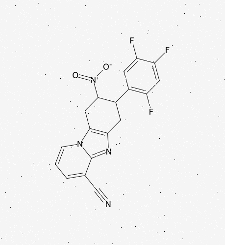 N#Cc1cccn2c3c(nc12)CC(c1cc(F)c(F)cc1F)C([N+](=O)[O-])C3